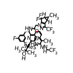 CSNC(=N/NCC(F)(F)F)/C(C)=C(Cl)/C=C\Cc1ccc(C#CC(C)(C)O)nc1[C@H](Cc1cc(F)cc(F)c1)NC(=O)Cn1nc(C(F)(F)F)c2c1C(F)(F)[C@@H]1[C@H](C)[C@H]21